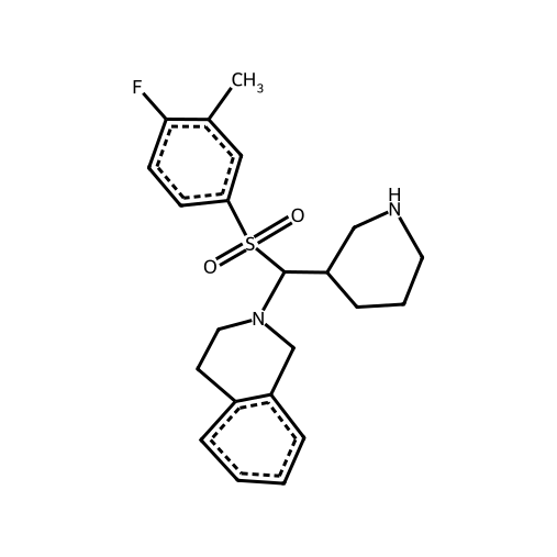 Cc1cc(S(=O)(=O)C(C2CCCNC2)N2CCc3ccccc3C2)ccc1F